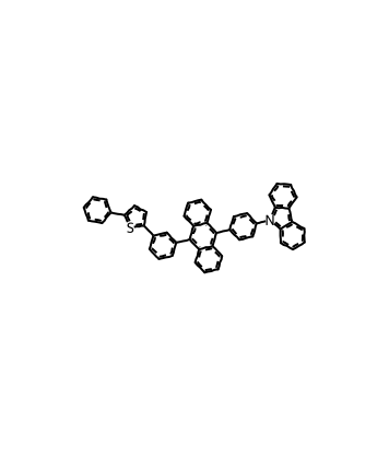 c1ccc(-c2ccc(-c3cccc(-c4c5ccccc5c(-c5ccc(-n6c7ccccc7c7ccccc76)cc5)c5ccccc45)c3)s2)cc1